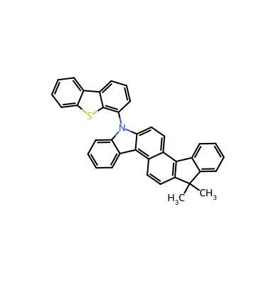 CC1(C)c2ccccc2-c2c1ccc1c2ccc2c1c1ccccc1n2-c1cccc2c1sc1ccccc12